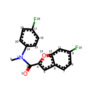 CN(C(=O)c1cc2ccc(F)cc2o1)c1ccc(F)cc1